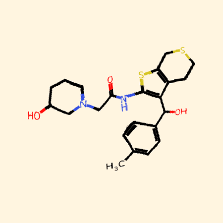 Cc1ccc(C(O)c2c(NC(=O)CN3CCCC(O)C3)sc3c2CCSC3)cc1